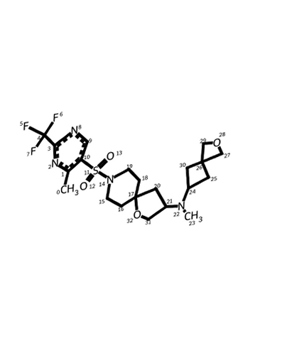 Cc1nc(C(F)(F)F)ncc1S(=O)(=O)N1CCC2(CC1)CC(N(C)C1CC3(COC3)C1)CO2